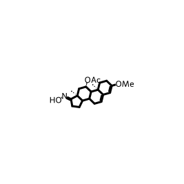 COC1=CC2=CCC3C([C@@H](OC(C)=O)C[C@]4(C)C(=NO)CCC34)[C@@]2(C)CC1